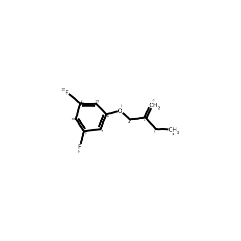 C=C(CC)COc1cc(F)cc(F)c1